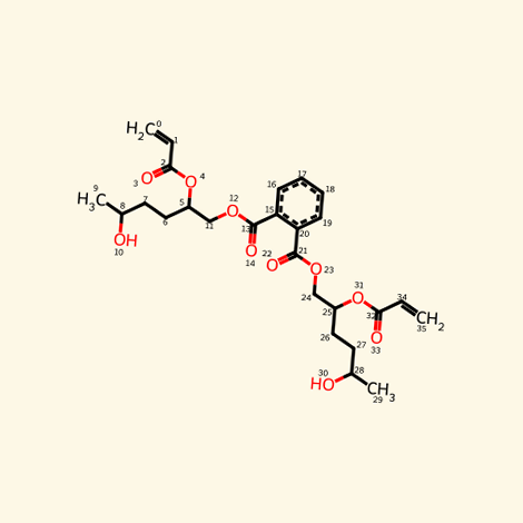 C=CC(=O)OC(CCC(C)O)COC(=O)c1ccccc1C(=O)OCC(CCC(C)O)OC(=O)C=C